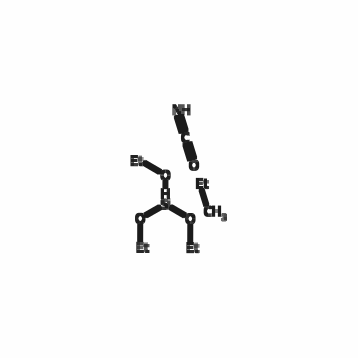 CCC.CCO[SiH](OCC)OCC.N=C=O